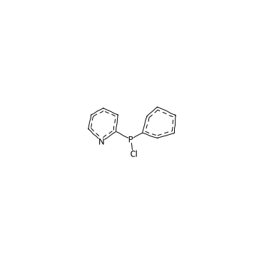 ClP(c1ccccc1)c1ccccn1